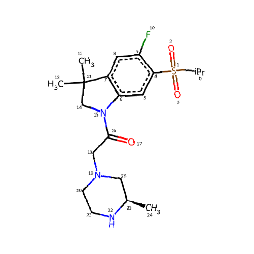 CC(C)S(=O)(=O)c1cc2c(cc1F)C(C)(C)CN2C(=O)CN1CCN[C@H](C)C1